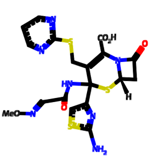 CON=CC(=O)NC1(c2csc(N)n2)S[C@H]2CC(=O)N2C(C(=O)O)=C1CSc1ncccn1